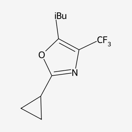 CCC(C)c1oc(C2CC2)nc1C(F)(F)F